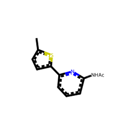 CC(=O)Nc1cccc(-c2ccc(C)s2)n1